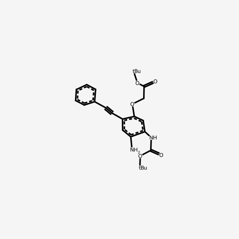 CC(C)(C)OC(=O)COc1cc(NC(=O)OC(C)(C)C)c(N)cc1C#Cc1ccccc1